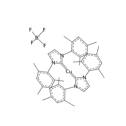 Cc1cc(C)c(-n2ccn(-c3c(C)cc(C)cc3C)[c]2=[Cu]=[c]2n(-c3c(C)cc(C)cc3C)ccn2-c2c(C)cc(C)cc2C)c(C)c1.F[B-](F)(F)F